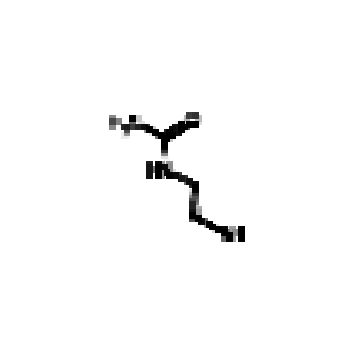 CC(=O)NC=CS